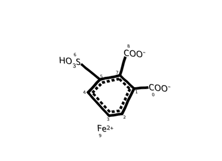 O=C([O-])c1cccc(S(=O)(=O)O)c1C(=O)[O-].[Fe+2]